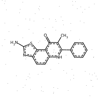 Cc1c(-c2ccccc2)[nH]c2ccc3nc(N)sc3c2c1=O